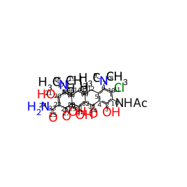 CC(=O)Nc1c(O)c2c(c(N(C)C)c1Cl)C[C@H]1C[C@H]3[C@H](N(C)C)C(O)=C(C(N)=O)C(=O)[C@@]3(O)C(O)=C1C2=O